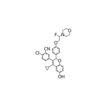 N#Cc1cc(C2=C(C3CC3)c3cc(O)ccc3OC2c2ccc(OCC(F)N3CCOCC3)cc2)ccc1Cl